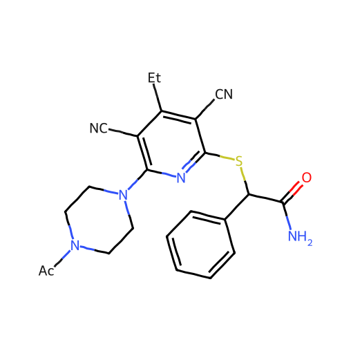 CCc1c(C#N)c(SC(C(N)=O)c2ccccc2)nc(N2CCN(C(C)=O)CC2)c1C#N